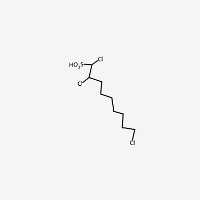 O=S(=O)(O)C(Cl)C(Cl)CCCCCCCCl